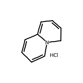 C1=CCN2C=CC=CC2=C1.Cl